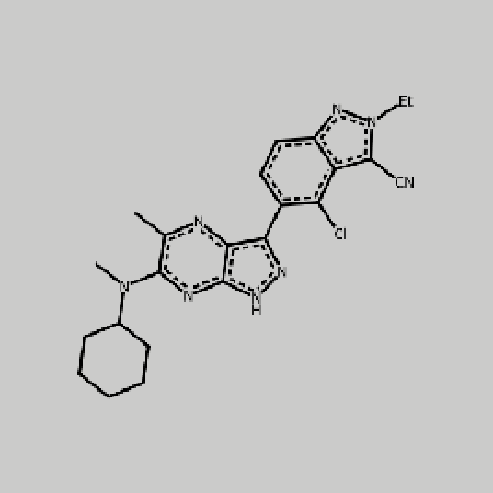 CCn1nc2ccc(-c3n[nH]c4nc(N(C)C5CCCCC5)c(C)nc34)c(Cl)c2c1C#N